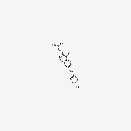 CCN(CC)CCn1ncc2cc(/C=C/c3ccc(O)cc3)ccc2c1=O